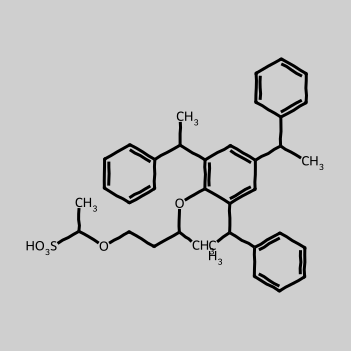 CC(CCOC(C)S(=O)(=O)O)Oc1c(C(C)c2ccccc2)cc(C(C)c2ccccc2)cc1C(C)c1ccccc1